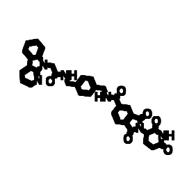 O=C(Cn1c2ccccc2c2cccnc21)NCc1ccc(CNC(=O)c2ccc3c(c2)C(=O)N(C2CCC(=O)NC2=O)C3=O)cc1